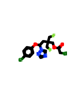 O=C(CCl)OCC(CF)(CF)CC(Oc1ccc(Cl)cc1)n1cncn1